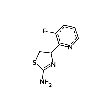 NC1=NC(c2ncccc2F)CS1